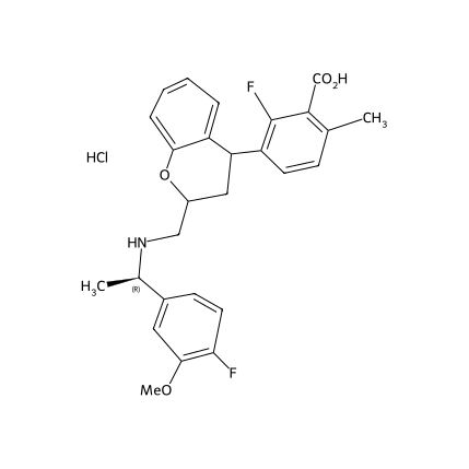 COc1cc([C@@H](C)NCC2CC(c3ccc(C)c(C(=O)O)c3F)c3ccccc3O2)ccc1F.Cl